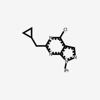 CC(C)n1ncc2c(Cl)nc(CC3CC3)nc21